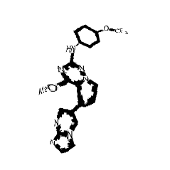 COc1nc(N[C@H]2CC[C@H](OC(F)(F)F)CC2)nn2ccc(-c3cnc4nccn4c3)c12